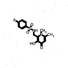 Cc1cc(=O)c(O)c(CNS(=O)(=O)c2ccc(F)cc2)n1C